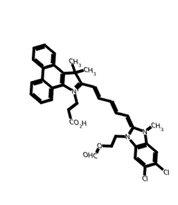 CN1/C(=C/C=C/C=C/C2=[N+](CCC(=O)O)c3c(c4ccccc4c4ccccc34)C2(C)C)N(CCOC=O)c2cc(Cl)c(Cl)cc21